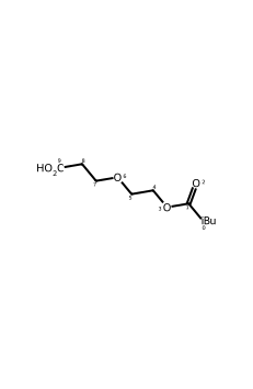 CCC(C)C(=O)OCCOCCC(=O)O